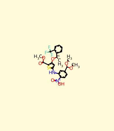 COC(=O)c1sc(Nc2cc(C(OC)OC)ccc2[N+](=O)O)cc1O[C@H](C)c1ccccc1C(F)(F)F